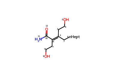 CCCCCCCC/C(CCO)=C(\CCO)C(N)=O